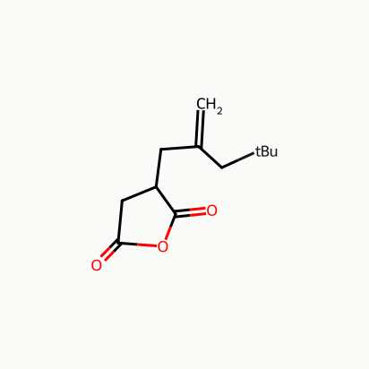 C=C(CC1CC(=O)OC1=O)CC(C)(C)C